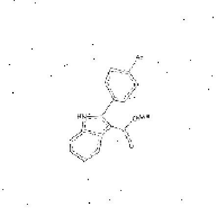 COC(=O)c1c(-c2ccc(C(C)=O)cc2)[nH]c2ccccc12